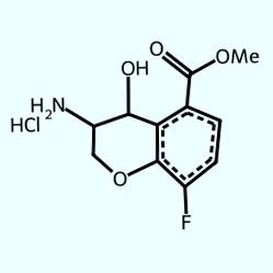 COC(=O)c1ccc(F)c2c1C(O)C(N)CO2.Cl